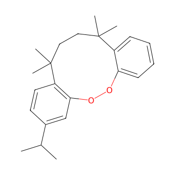 CC(C)c1ccc2c(c1)OOc1ccccc1C(C)(C)CCC2(C)C